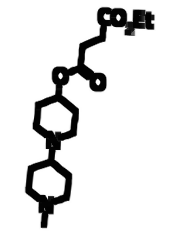 CCOC(=O)CCC(=O)OC1CCN(C2CCN(C)CC2)CC1